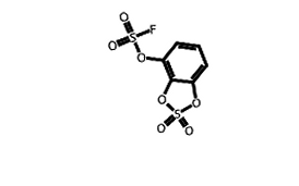 O=S(=O)(F)Oc1cccc2c1OS(=O)(=O)O2